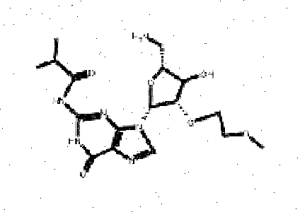 COCCO[C@H]1C(O)[C@@H](CN)O[C@H]1n1cnc2c(=O)[nH]c(NC(=O)C(C)C)nc21